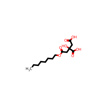 CCCCCCCCOC(=O)CC(O)(CC(=O)O)C(=O)O